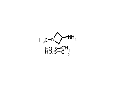 CN1CC(N)C1.CS(=O)(=O)O.CS(=O)(=O)O